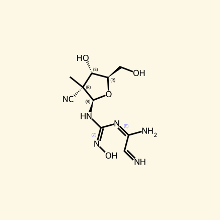 C[C@]1(C#N)[C@H](NC(=N/O)/N=C(/N)C=N)O[C@H](CO)[C@H]1O